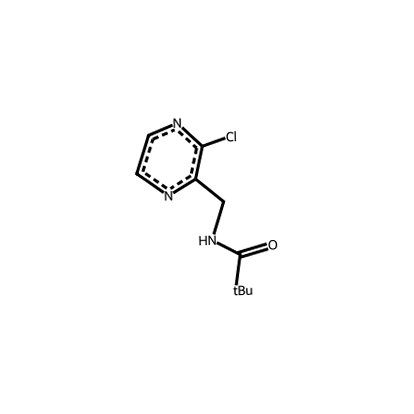 CC(C)(C)C(=O)NCc1nccnc1Cl